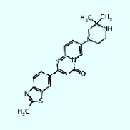 Cc1nc2ccc(-c3cc(=O)n4cc(N5CCNC(C)(C)C5)ccc4n3)cc2s1